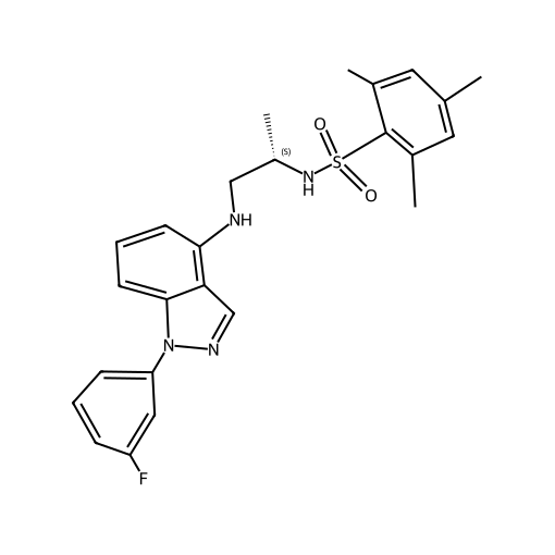 Cc1cc(C)c(S(=O)(=O)N[C@@H](C)CNc2cccc3c2cnn3-c2cccc(F)c2)c(C)c1